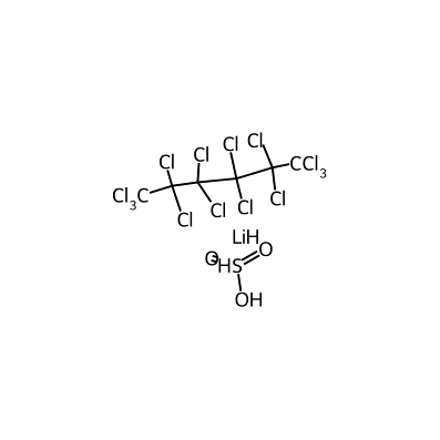 ClC(Cl)(Cl)C(Cl)(Cl)C(Cl)(Cl)C(Cl)(Cl)C(Cl)(Cl)C(Cl)(Cl)Cl.O=[SH](=O)O.[LiH]